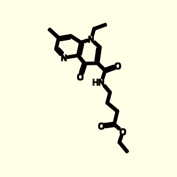 CCOC(=O)CCCNC(=O)c1cn(CC)c2cc(C)cnc2c1=O